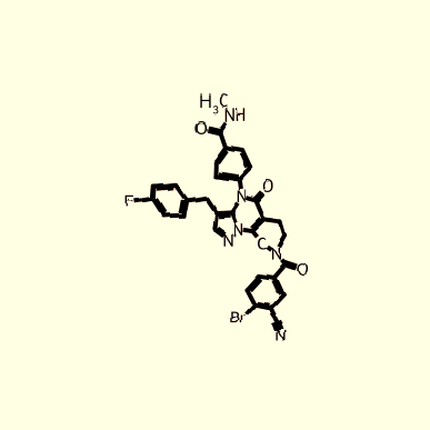 CNC(=O)c1ccc(-n2c(=O)c3c(n4ncc(Cc5ccc(F)cc5)c24)CN(C(=O)c2ccc(Br)c(C#N)c2)CC3)cc1